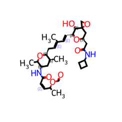 CC(/C=C/[C@H]1O[C@H](CC(=O)NC2CCC2)CC2(CO2)[C@@H]1O)=C\C[C@@H]1OC(C)[C@H](NC(=O)/C=C\C(C)OC=O)C[C@@H]1C